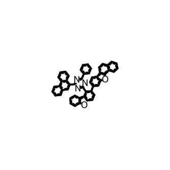 c1ccc(-c2nc(-c3cc4ccccc4c4ccccc34)nc(-c3c(-c4ccc5c(c4)oc4c6ccccc6ccc54)ccc4oc5ccccc5c34)n2)cc1